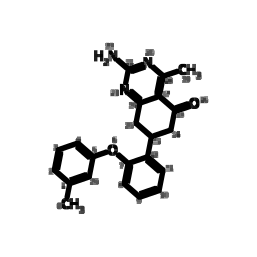 Cc1cccc(Oc2ccccc2C2CC(=O)c3c(C)nc(N)nc3C2)c1